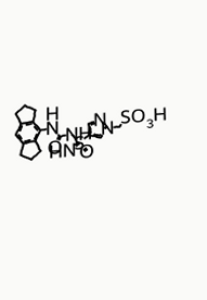 N=S(=O)(NC(=O)Nc1c2c(cc3c1CCC3)CCC2)c1cnn(CS(=O)(=O)O)c1